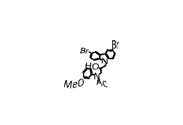 COc1cccc(N(CC(O)Cn2c3ccc(Br)cc3c3cc(Br)ccc32)C(C)=O)c1